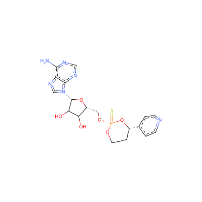 Nc1ncnc2c1ncn2[C@@H]1O[C@H](CO[P@@]2(=S)OCC[C@@H](c3ccncc3)O2)C(O)C1O